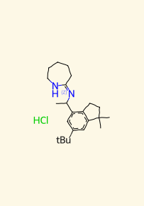 CC(/N=C1/CCCCCN1)c1cc(C(C)(C)C)cc2c1CCC2(C)C.Cl